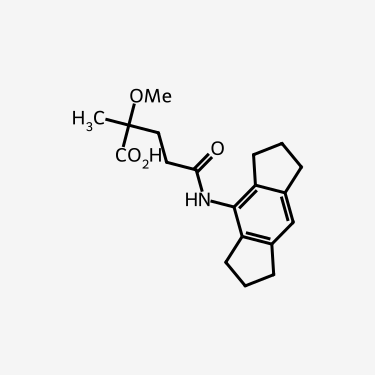 COC(C)(CCC(=O)Nc1c2c(cc3c1CCC3)CCC2)C(=O)O